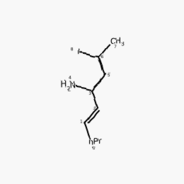 CCC/C=C/C(N)CC(C)I